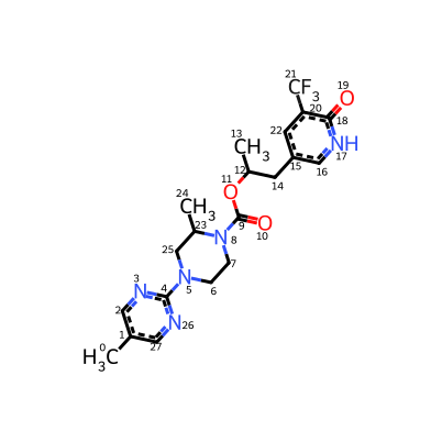 Cc1cnc(N2CCN(C(=O)OC(C)Cc3c[nH]c(=O)c(C(F)(F)F)c3)C(C)C2)nc1